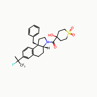 CC(F)(c1ccc2c(c1)CC[C@H]1N(C(=O)C3(O)CCS(=O)(=O)CC3)CC[C@@]21Cc1ccccc1)C(F)(F)F